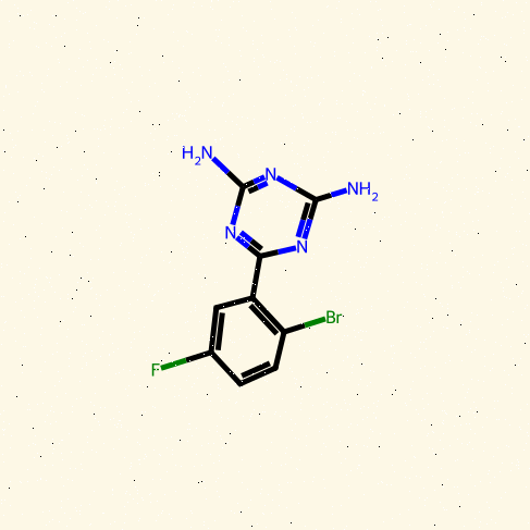 Nc1nc(N)nc(-c2cc(F)ccc2Br)n1